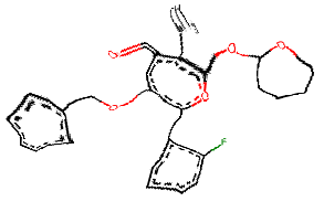 Cc1c(OC2CCCCO2)oc(-c2ccccc2F)c(OCc2ccccc2)c1=O